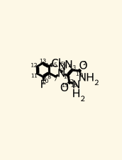 NC(=O)c1nnn(Cc2c(F)cccc2Cl)c1C(N)=O